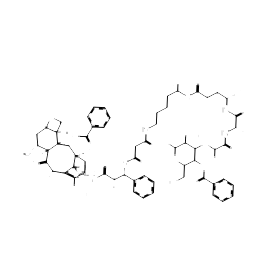 CC1=C2[C@@H](O)C(=O)[C@@]3(C)[C@H]([C@H](OC(=O)c4ccccc4)[C@](O)(C[C@@H]1OC(=O)[C@H](O)[C@@H](NC(=O)CC(=O)NCCCCC(NC(=O)CC[C@@H](C=O)NC(=O)[C@H](C)NC(=O)C(C)OC1C(C)C(O)OC(CO)C1OC(=O)c1ccccc1)C(=O)O)c1ccccc1)C2(C)C)[C@]1(O)CO[C@@H]1C[C@@H]3O